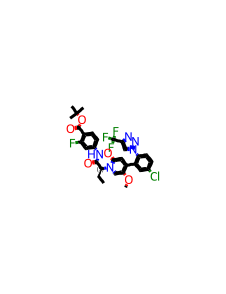 CC[C@@H](C(=O)Nc1ccc(C(=O)OC(C)(C)C)c(F)c1)n1cc(OC)c(-c2cc(Cl)ccc2-n2cc(C(F)(F)F)nn2)cc1=O